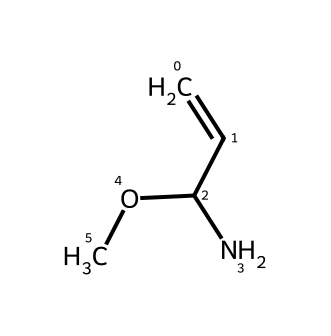 C=CC(N)OC